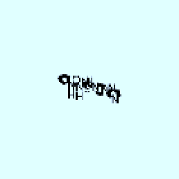 O=C(Nc1nnc(N2CCN(c3cnccn3)CC2)s1)NC1CCCC1